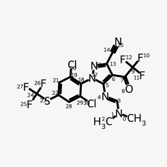 CN(C)C=Nc1c(C(=O)C(F)(F)F)c(C#N)nn1-c1c(Cl)cc(SC(F)(F)F)cc1Cl